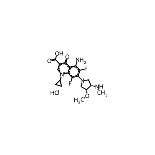 CN[C@@H]1CN(c2c(F)c(N)c3c(=O)c(C(=O)O)cn(C4CC4)c3c2F)C[C@@H]1OC.Cl